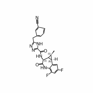 C[C@@H]1C2[C@H](NC(=O)c3nnc(Cc4cccc(C#N)c4)[nH]3)C(=O)Nc3c(F)cc(F)cc3[C@@H]21